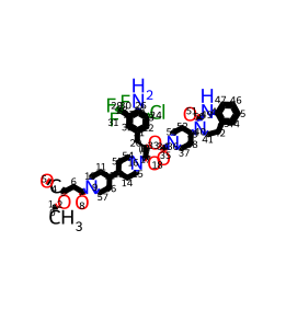 CCOC(=C=O)CC(=O)N1CCC(C2CCN(C(=O)[C@@H](Cc3cc(Cl)c(N)c(C(F)(F)F)c3)OC(=O)N3CCC(N4CCc5ccccc5NC4=O)CC3)CC2)CC1